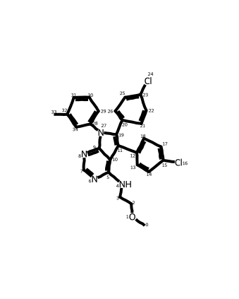 COCCNc1ncnc2c1c(-c1ccc(Cl)cc1)c(-c1ccc(Cl)cc1)n2-c1cccc(C)c1